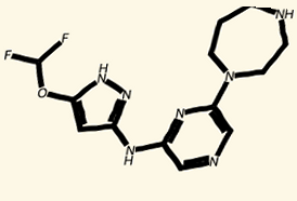 FC(F)Oc1cc(Nc2cncc(N3CCCNCC3)n2)n[nH]1